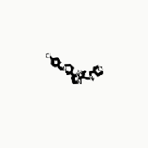 Cc1nn2c(C3CCCN(Cc4ccc(Cl)cc4)C3)ccnc2c1CN(C)CC1CCOCC1